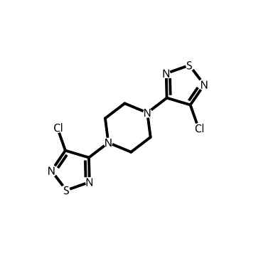 Clc1nsnc1N1CCN(c2nsnc2Cl)CC1